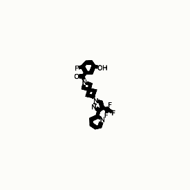 O=C(c1cc(O)ccc1F)N1CC2(CC(n3cc(C(F)(F)F)c(-c4ccccn4)n3)C2)C1